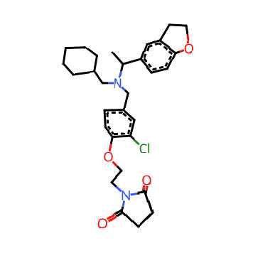 CC(c1ccc2c(c1)CCO2)N(Cc1ccc(OCCN2C(=O)CCC2=O)c(Cl)c1)CC1CCCCC1